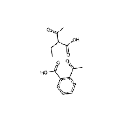 CC(=O)c1ccccc1C(=O)O.CCC(C(C)=O)C(=O)O